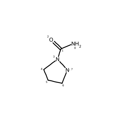 NC(=O)N1CCC[N]1